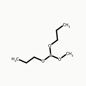 CCCOB(OC)OCCC